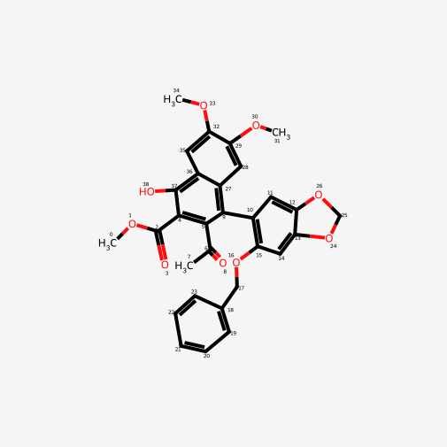 COC(=O)c1c(C(C)=O)c(-c2cc3c(cc2OCc2ccccc2)OCO3)c2cc(OC)c(OC)cc2c1O